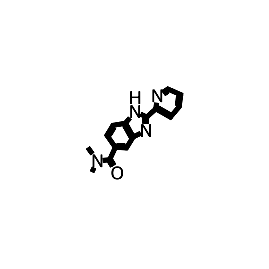 CN(C)C(=O)c1ccc2[nH]c(-c3ccccn3)nc2c1